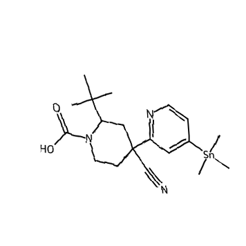 CC(C)(C)C1CC(C#N)(c2c[c]([Sn]([CH3])([CH3])[CH3])ccn2)CCN1C(=O)O